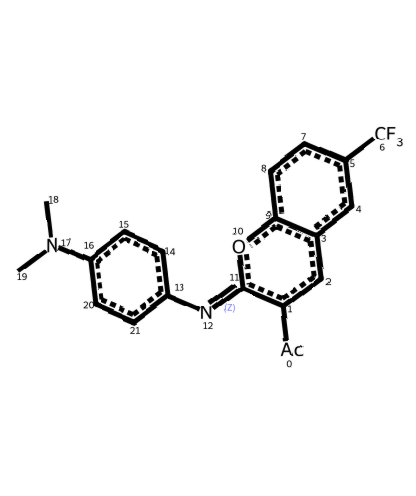 CC(=O)c1cc2cc(C(F)(F)F)ccc2o/c1=N\c1ccc(N(C)C)cc1